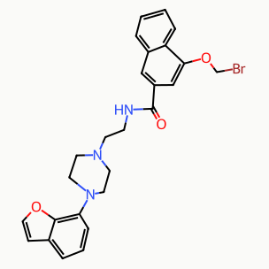 O=C(NCCN1CCN(c2cccc3ccoc23)CC1)c1cc(OCBr)c2ccccc2c1